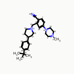 CN1CCN(c2ccc(C#N)c(CN3CCC(c4ccc(C(C)(C)C)cc4)CC3)c2)CC1